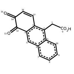 O=C(O)Cc1c2c(cc3ccccc13)C(=O)C(=O)C=C2